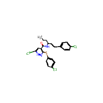 CCCC(CCc1ccc(Cl)cc1)NC(=O)c1cc(Cl)nnc1Sc1ccc(Cl)cc1